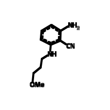 COCCCNc1cccc(N)c1C#N